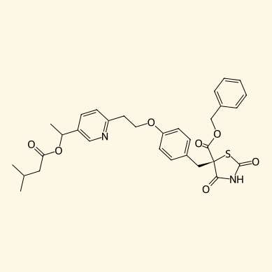 CC(C)CC(=O)OC(C)c1ccc(CCOc2ccc(C[C@@]3(C(=O)OCc4ccccc4)SC(=O)NC3=O)cc2)nc1